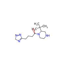 CC(C)(C)C1CNCCN1C(=O)CCCC1=NCN=N1